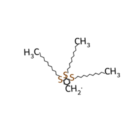 [CH2]c1cc(SCCCCCCCCCCCC)c(SCCCCCCCCCCCC)c(SCCCCCCCCCCCC)c1